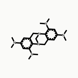 CN(C)c1cc2c(c(N(C)C)c1)N1Cc3cc(N(C)C)cc(N(C)C)c3N(C2)C1